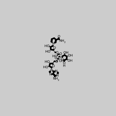 NC(=O)C1=CN([C@@H]2O[C@H](COP(=O)(O)OP(=O)(O)OC[C@H]3O[C@@H](n4cnc5c(N)ncnc54)[C@H](O)[C@@H]3O)[C@@H](O)[C@H]2O)C=CC1.OC1OC[C@@H](O)[C@H](O)[C@H]1O